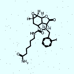 NC(=O)CCCCCNC(=O)[C@]12C[C@@H]3O[C@@H]3[C@H]3OC(=O)[C@H]([C@H]31)N(Cc1ccccc1I)O2